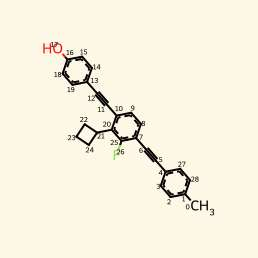 Cc1ccc(C#Cc2ccc(C#Cc3ccc(O)cc3)c(C3CCC3)c2F)cc1